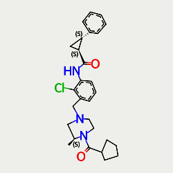 C[C@H]1CN(Cc2cccc(NC(=O)[C@H]3C[C@@H]3c3ccccc3)c2Cl)CCN1C(=O)C1CCCC1